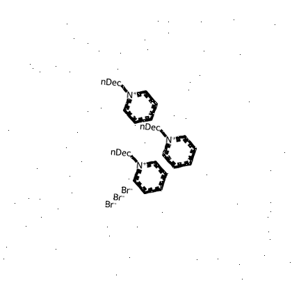 CCCCCCCCCC[n+]1ccccc1.CCCCCCCCCC[n+]1ccccc1.CCCCCCCCCC[n+]1ccccc1.[Br-].[Br-].[Br-]